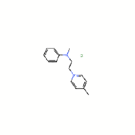 Cc1cc[n+](CCN(C)c2ccccc2)cc1.[Cl-]